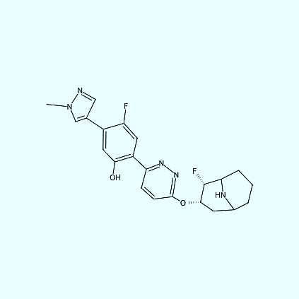 Cn1cc(-c2cc(O)c(-c3ccc(O[C@H]4CC5CCCC(N5)[C@H]4F)nn3)cc2F)cn1